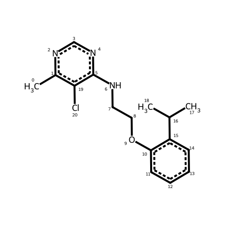 Cc1ncnc(NCCOc2ccccc2C(C)C)c1Cl